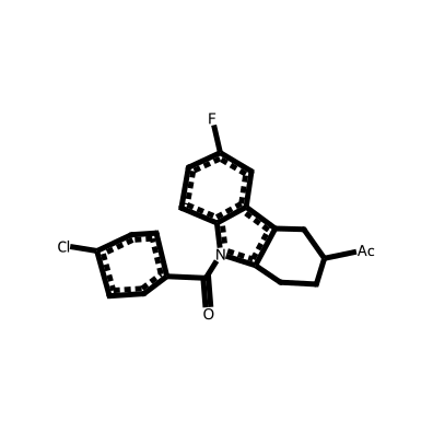 CC(=O)C1CCc2c(c3cc(F)ccc3n2C(=O)c2ccc(Cl)cc2)C1